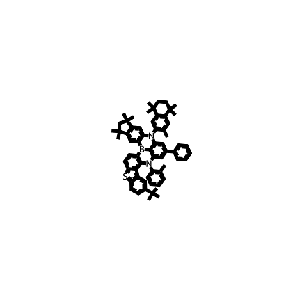 Cc1cc2c(cc1N1c3cc4c(cc3B3c5ccc6sc7ccc(C(C)(C)C)cc7c6c5N(c5ccccc5C)c5cc(-c6ccccc6)cc1c53)C(C)(C)CC4(C)C)C(C)(C)CCC2(C)C